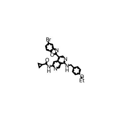 CCOc1ccc(CNc2ncc(-c3nc4cc(Br)ccc4o3)c3cc(NC(=O)C4CC4)ncc23)cc1